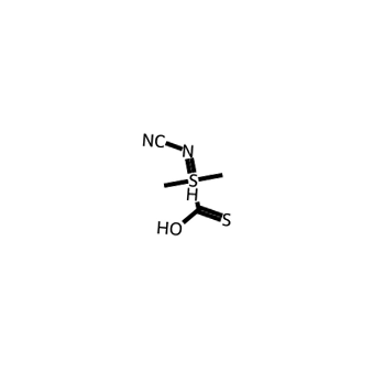 C[SH](C)(=NC#N)C(O)=S